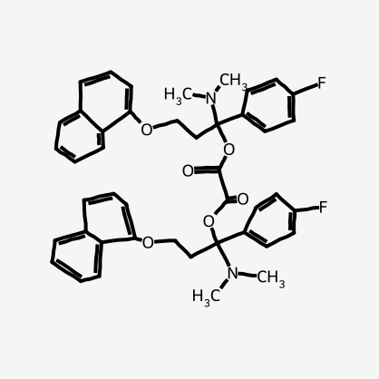 CN(C)C(CCOc1cccc2ccccc12)(OC(=O)C(=O)OC(CCOc1cccc2ccccc12)(c1ccc(F)cc1)N(C)C)c1ccc(F)cc1